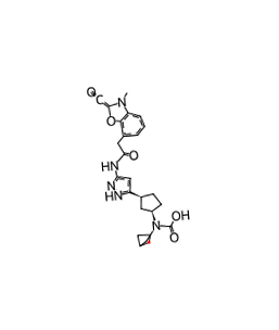 CN1C(=C=O)Oc2c(CC(=O)Nc3cc([C@H]4CC[C@@H](N(C(=O)O)C56CC(C5)C6)C4)[nH]n3)cccc21